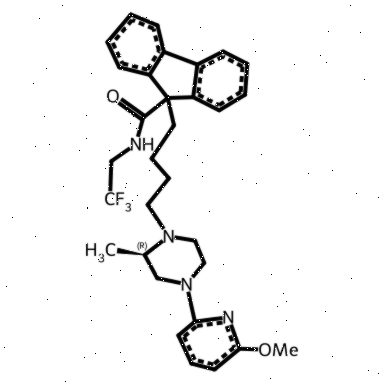 COc1cccc(N2CCN(CCCCC3(C(=O)NCC(F)(F)F)c4ccccc4-c4ccccc43)[C@H](C)C2)n1